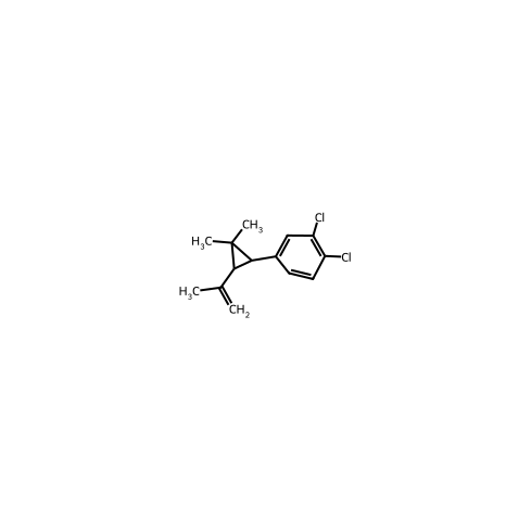 C=C(C)C1C(c2ccc(Cl)c(Cl)c2)C1(C)C